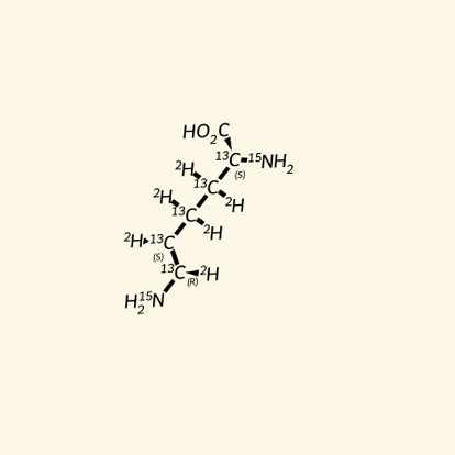 [2H][13C@H]([13C@@H]([2H])[15NH2])[13C]([2H])([2H])[13C]([2H])([2H])[13C@H]([15NH2])[13C](=O)O